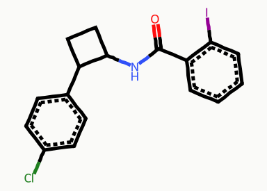 O=C(NC1CCC1c1ccc(Cl)cc1)c1ccccc1I